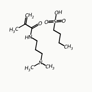 C=C(C)C(=O)NCCCN(C)C.CCCCS(=O)(=O)O